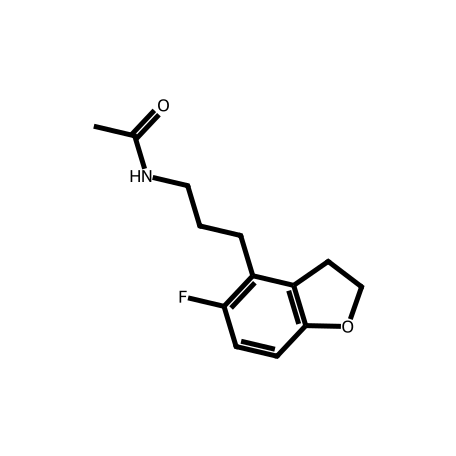 CC(=O)NCCCc1c(F)ccc2c1CCO2